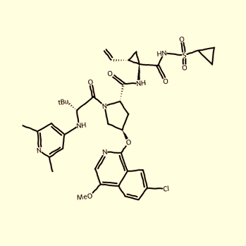 C=C[C@@H]1C[C@]1(NC(=O)[C@@H]1C[C@@H](Oc2ncc(OC)c3ccc(Cl)cc23)CN1C(=O)[C@H](Nc1cc(C)nc(C)c1)C(C)(C)C)C(=O)NS(=O)(=O)C1CC1